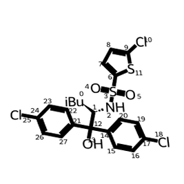 CC[C@H](C)[C@H](NS(=O)(=O)c1ccc(Cl)s1)C(O)(c1ccc(Cl)cc1)c1ccc(Cl)cc1